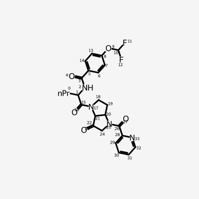 CCCC(NC(=O)c1ccc(OC(F)F)cc1)C(=O)N1CCC2C1C(=O)CN2C(=O)c1ccccn1